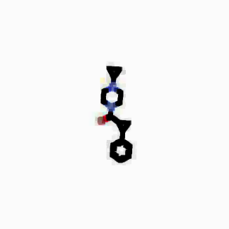 O=C(C1CC1c1ccccc1)N1CCN(C2CC2)CC1